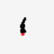 CCCCCC1CCC(C2CCC(OC)C(C)C2)CC1